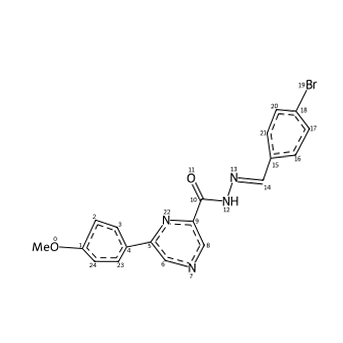 COc1ccc(-c2cncc(C(=O)NN=Cc3ccc(Br)cc3)n2)cc1